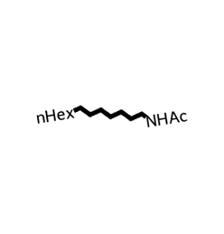 CCCCCCCCCCCCCNC(C)=O